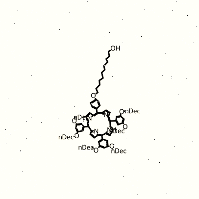 CCCCCCCCCCOc1cc(OCCCCCCCCCC)cc(-c2c3nc(c(-c4cc(OCCCCCCCCCC)cc(OCCCCCCCCCC)c4)c4ccc([nH]4)c(-c4cc(OCCCCCCCCCC)cc(OCCCCCCCCCC)c4)c4nc(c(-c5ccc(OCCCCCCCCCCCCO)cc5)c5ccc2[nH]5)C=C4)C=C3)c1